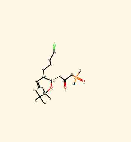 C=C[C@@H](CCCCCl)[C@H](CC(=O)CP(C)(C)=O)O[Si](C)(C)C(C)(C)C